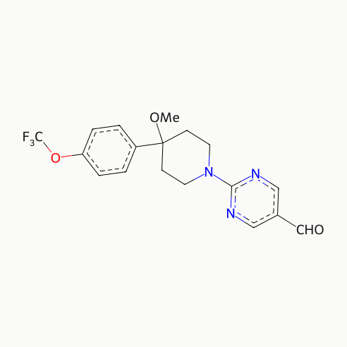 COC1(c2ccc(OC(F)(F)F)cc2)CCN(c2ncc(C=O)cn2)CC1